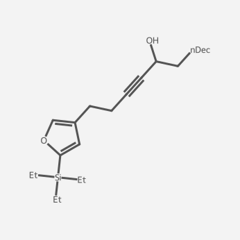 CCCCCCCCCCCC(O)C#CCCc1coc([Si](CC)(CC)CC)c1